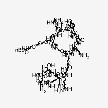 CCCCC(=O)NCCOCCOCCOCC(=O)N[C@H]1Cc2cn(nn2)CCCC[C@@H](C(=O)NCCOCC(=O)NCC(=O)N[C@@H](CCCNC(=N)N)C(=O)N[C@@H](CCCNC(=N)N)C(=O)NCC(=O)NC(C(=O)N[C@@H](CO)C(=O)NCC(N)=O)C(C)O)NC(=O)[C@H](CCCCN)NC2=NC(=O)C[C@@H]2NC(=O)[C@H](Cc2ccc(O)cc2)NC(=O)[C@H](CO)NC(=O)[C@H](CCCNC(=N)N)NC1=O